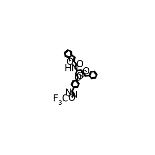 O=C(NC(COc1ccc(-c2noc(C(F)(F)F)n2)cc1)CS(=O)(=O)Cc1ccccc1)c1cc2ccccc2o1